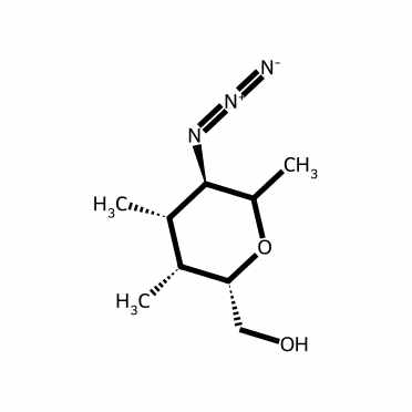 CC1O[C@H](CO)[C@H](C)[C@H](C)[C@H]1N=[N+]=[N-]